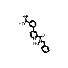 CN(C)C(O)c1cccc(-c2ccnc(C(=O)N(O)Cc3ccccc3)c2)c1